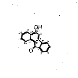 O=C1c2ccccc2-c2cc(O)c3ccccc3c21